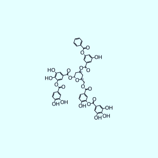 O=C(OC[C@@H]1C[C@H](OC(=O)c2cc(O)cc(OC(=O)c3ccccc3)c2)CC(OC(=O)c2cc(O)c(O)c(OC(=O)c3ccc(O)c(O)c3)c2)O1)c1ccc(O)c(OC(=O)c2cc(O)c(O)c(O)c2)c1